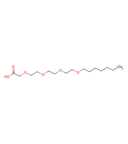 CCCCCCCOCCOCCOCCOCC(=O)O